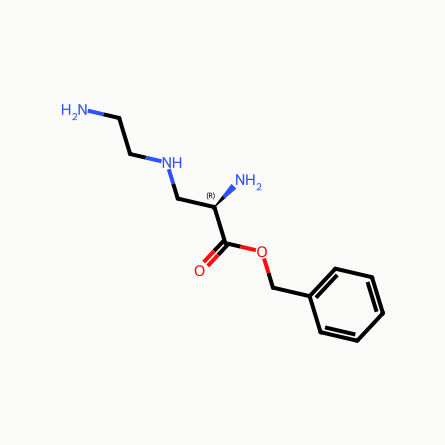 NCCNC[C@@H](N)C(=O)OCc1ccccc1